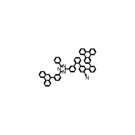 N#Cc1ccc(-c2ccccc2-c2cccc(-c3nc(-c4ccccc4)nc(-c4cccc(-c5cc6ccccc6c6ccccc56)c4)n3)c2)cc1-c1ccccc1-c1ccc2c3ccccc3c3ccccc3c2c1